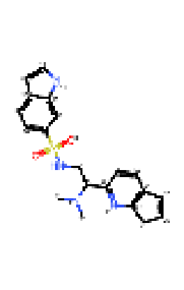 CN(C)C(CNS(=O)(=O)c1ccc2cc[nH]c2c1)c1ccc2c(n1)CC=C2